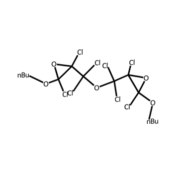 CCCCOC1(Cl)OC1(Cl)C(Cl)(Cl)OC(Cl)(Cl)C1(Cl)OC1(Cl)OCCCC